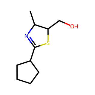 CC1N=C(C2CCCC2)SC1CO